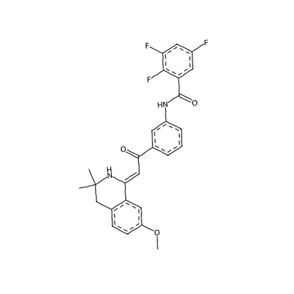 COc1ccc2c(c1)C(=CC(=O)c1cccc(NC(=O)c3cc(F)cc(F)c3F)c1)NC(C)(C)C2